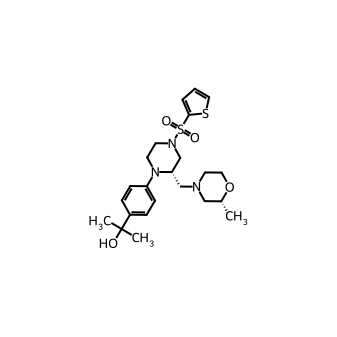 C[C@@H]1CN(C[C@H]2CN(S(=O)(=O)c3cccs3)CCN2c2ccc(C(C)(C)O)cc2)CCO1